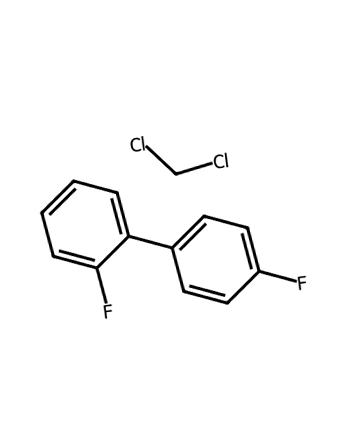 ClCCl.Fc1ccc(-c2ccccc2F)cc1